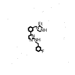 CCC1CNCCN1Cc1cccc(-c2ccnc(NCCc3cccc(F)c3)n2)c1